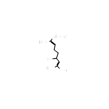 CCCCCC(C)=CCCC(O)C=C(C)C